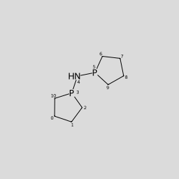 C1CCP(NP2CCCC2)C1